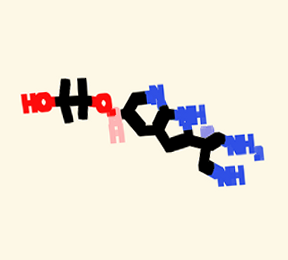 CC(C)(O)C(C)(C)OBc1cnc2[nH]c(/C(C=N)=C/N)cc2c1